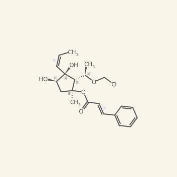 C/C=C\[C@@]1(O)[C@H](O)C[C@](C)(OC(=O)/C=C/c2ccccc2)[C@H]1[C@@H](C)OCCl